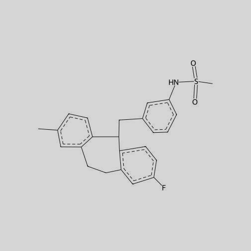 Cc1ccc2c(c1)CCc1cc(F)ccc1C2Cc1cccc(NS(C)(=O)=O)c1